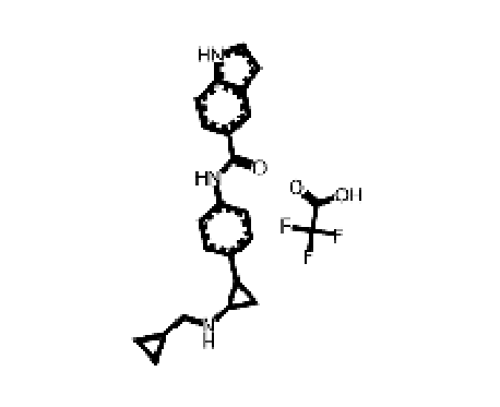 O=C(Nc1ccc(C2CC2NCC2CC2)cc1)c1ccc2[nH]ccc2c1.O=C(O)C(F)(F)F